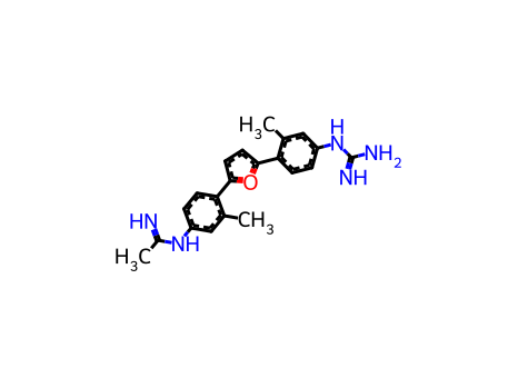 CC(=N)Nc1ccc(-c2ccc(-c3ccc(NC(=N)N)cc3C)o2)c(C)c1